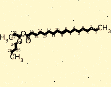 CCCCCCCCC=CCCCCCCCC(=O)OC(CC)OCCCC